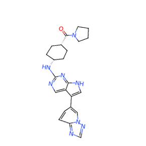 O=C([C@H]1CC[C@@H](Nc2ncc3c(-c4ccc5ncnn5c4)c[nH]c3n2)CC1)N1CCCC1